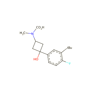 CN(C(=O)O)C1CC(O)(c2ccc(F)c(C(C)(C)C)c2)C1